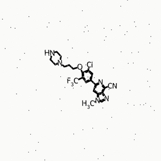 Cn1cnc2c(C#N)nc(-c3cc(Cl)c(OCCCN4CCNCC4)c(C(F)(F)F)c3)cc21